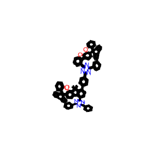 CC1(C)c2c(ccc3c2Oc2ccccc2C32c3ccccc3-c3ccccc32)-c2c(-c3nc(-c4ccccc4)nc(-c4ccccc4)n3)ccc(-c3ccc(-c4nc(-c5ccccc5)nc(-c5cccc6oc7c8c(ccc7c56)C5(c6ccccc6O8)c6ccccc6-c6ccccc65)n4)cc3)c21